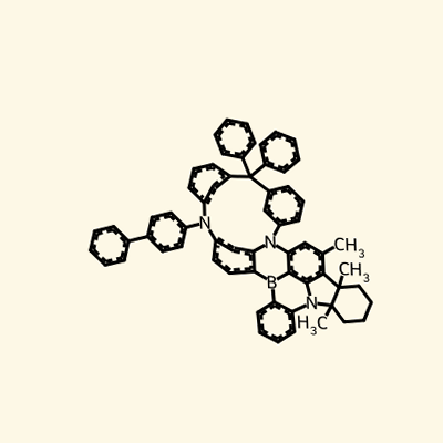 Cc1cc2c3c4c1C1(C)CCCCC1(C)N4c1ccccc1B3c1ccc3cc1N2c1cccc(c1)C(c1ccccc1)(c1ccccc1)c1cccc(c1)N3c1ccc(-c2ccccc2)cc1